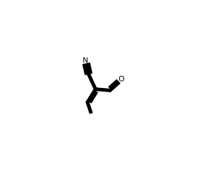 CC=C(C#N)C=O